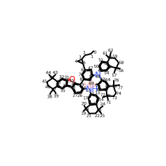 CCCC1CC1c1cc(-c2c(Nc3ccc4c(c3)C(C)(C)CCC4(C)C)ccc3c2oc2cc4c(cc23)C(C)(C)CCC4(C)C)c2c(c1)N(c1ccc3c(c1)C(C)(C)CCC3(C)C)c1cc3c(cc1B2)C(C)(C)CCC3(C)C